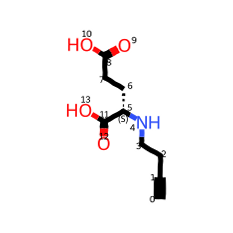 C#CCCN[C@@H](CCC(=O)O)C(=O)O